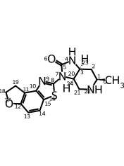 C[C@@H]1C[C@@H]2NC(=O)N(c3nc4c5c(ccc4s3)OCC5)[C@@H]2CN1